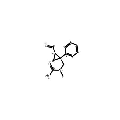 CN(C[C@@]1(c2ccccc2)C[C@H]1C=O)C(=O)O